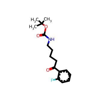 CC(C)(C)OC(=O)NCCCCC(=O)c1ccccc1F